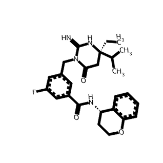 CC[C@]1(C(C)C)CC(=O)N(Cc2cc(F)cc(C(=O)N[C@H]3CCOc4ccccc43)c2)C(=N)N1